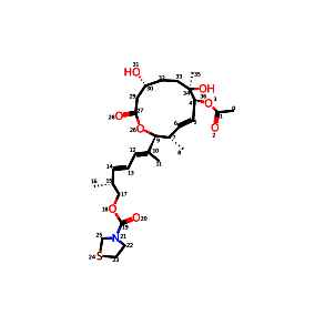 CC(=O)O[C@H]1/C=C/[C@H](C)[C@@H](/C(C)=C/C=C/[C@@H](C)COC(=O)N2CCSC2)OC(=O)C[C@H](O)CC[C@@]1(C)O